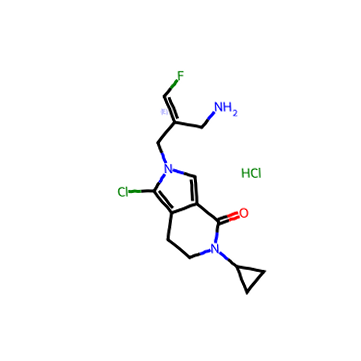 Cl.NC/C(=C\F)Cn1cc2c(c1Cl)CCN(C1CC1)C2=O